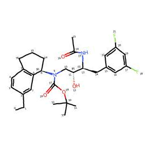 CCc1ccc2c(c1)[C@H](N(C[C@@H](O)[C@H](Cc1cc(F)cc(F)c1)NC(C)=O)C(=O)OC(C)(C)C)CCC2